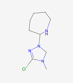 CN1CN(C2CCCCCN2)N=C1Cl